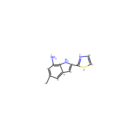 Cc1cc(N)c2[nH]c(-c3nc[c]s3)cc2c1